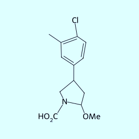 COC1CC(c2ccc(Cl)c(C)c2)CN1C(=O)O